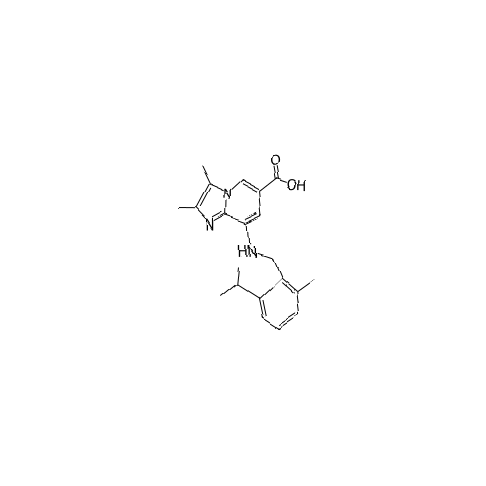 Cc1cccc(C(C)C)c1CNc1cc(C(=O)O)cn2c(C)c(C)nc12